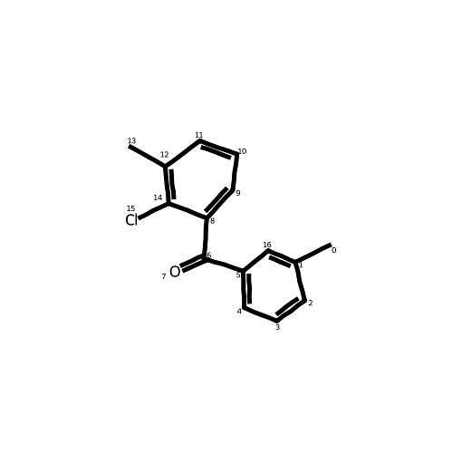 Cc1cccc(C(=O)c2cccc(C)c2Cl)c1